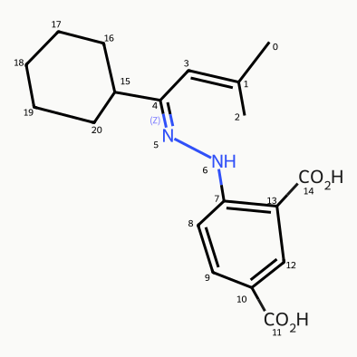 CC(C)=C/C(=N\Nc1ccc(C(=O)O)cc1C(=O)O)C1CCCCC1